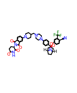 N#Cc1ccc(OC2C[C@H]3CC[C@@H](C2)N3C(=O)c2ccc(N3CCN(CC4CCN(c5ccc6c(c5)C(=O)N(C5CCC(=O)NC5=O)C6=O)CC4)CC3)cc2)cc1C(F)(F)F